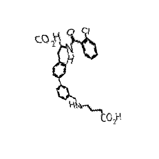 O=C(O)CCCNCc1cccc(-c2ccc(C[C@H](NC(=O)c3ccccc3Cl)C(=O)O)cc2)c1